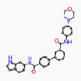 O=C(Nc1ccc2cc[nH]c2c1)c1ccc(-c2cccc(C(=O)Nc3ccc(N4CCOCC4)cc3)c2)cc1